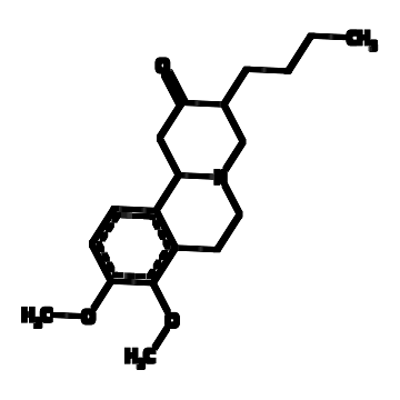 CCCCC1CN2CCc3c(ccc(OC)c3OC)C2CC1=O